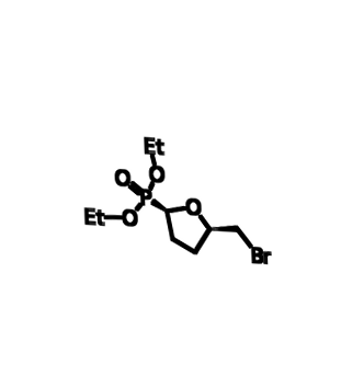 CCOP(=O)(OCC)[C@@H]1CC[C@H](CBr)O1